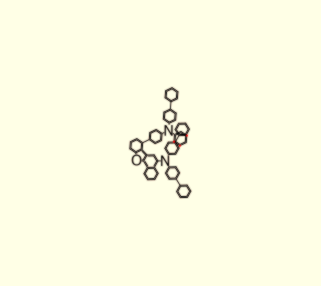 c1ccc(-c2ccc(N(c3ccccc3)c3ccc(-c4cccc5oc6c7ccccc7c(N(c7ccc(-c8ccccc8)cc7)c7ccc(-c8ccccc8)cc7)cc6c45)cc3)cc2)cc1